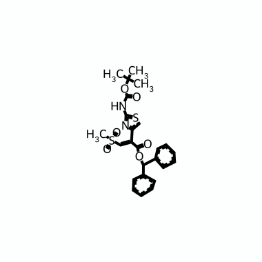 CC(C)(C)OC(=O)Nc1nc(C(=CS(C)(=O)=O)C(=O)OC(c2ccccc2)c2ccccc2)cs1